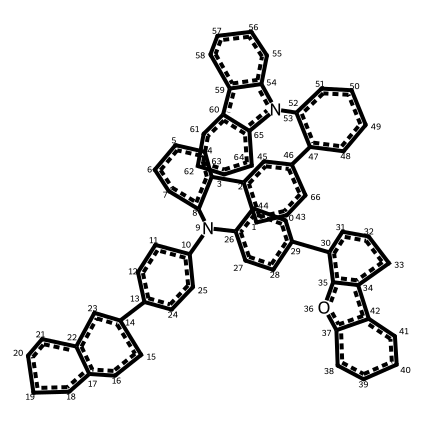 c1cc(-c2ccccc2N(c2ccc(-c3ccc4ccccc4c3)cc2)c2ccc(-c3cccc4c3oc3ccccc34)cc2)cc(-c2ccccc2-n2c3ccccc3c3ccccc32)c1